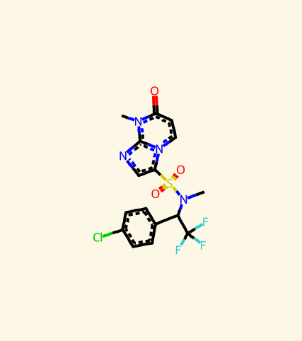 CN(C(c1ccc(Cl)cc1)C(F)(F)F)S(=O)(=O)c1cnc2n(C)c(=O)ccn12